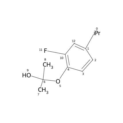 CC(C)c1ccc(OC(C)(C)O)c(F)c1